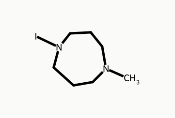 CN1CCCN(I)CCC1